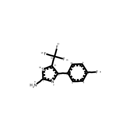 Nc1nc(-c2ccc(F)cc2)c(C(F)(F)F)s1